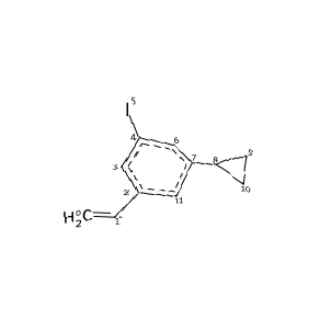 C=[C]c1cc(I)cc(C2CC2)c1